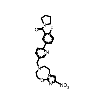 O=C(c1cc(-c2ccc(CN3CCOc4nc([N+](=O)[O-])cn4CC3)cn2)ccc1F)N1CCCC1